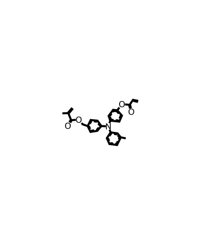 C=CC(=O)Oc1ccc(N(c2ccc(COC(=O)C(=C)C)cc2)c2cccc(C)c2)cc1